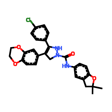 CC1(C)Cc2cc(NC(=O)N3CC(c4ccc5c(c4)OCCO5)=C(c4ccc(Cl)cc4)N3)ccc2O1